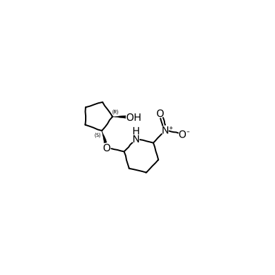 O=[N+]([O-])C1CCCC(O[C@H]2CCC[C@H]2O)N1